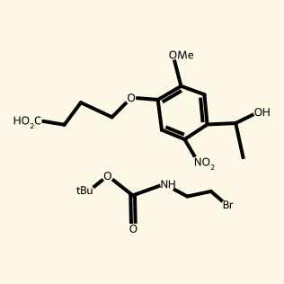 CC(C)(C)OC(=O)NCCBr.COc1cc(C(C)O)c([N+](=O)[O-])cc1OCCCC(=O)O